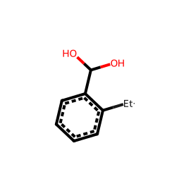 C[CH]c1ccccc1C(O)O